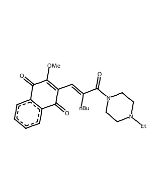 CCCCC(=CC1=C(OC)C(=O)c2ccccc2C1=O)C(=O)N1CCN(CC)CC1